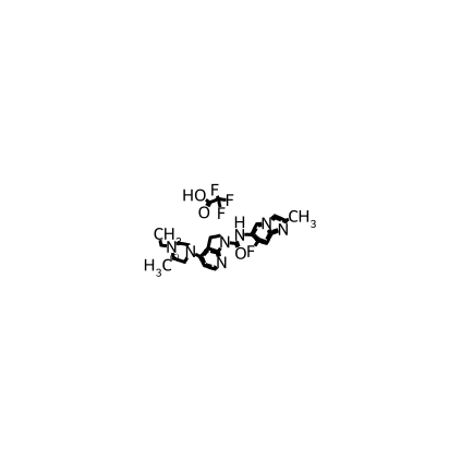 CCN1CCN(c2ccnc3c2CCN3C(=O)Nc2cn3cc(C)nc3cc2F)C[C@@H]1C.O=C(O)C(F)(F)F